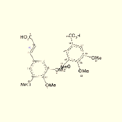 COc1cc(/C=C/C(=O)O)cc(OC)c1OC.COc1cc(C(=O)O)cc(OC)c1OC